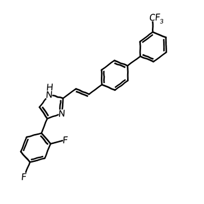 Fc1ccc(-c2c[nH]c(C=Cc3ccc(-c4cccc(C(F)(F)F)c4)cc3)n2)c(F)c1